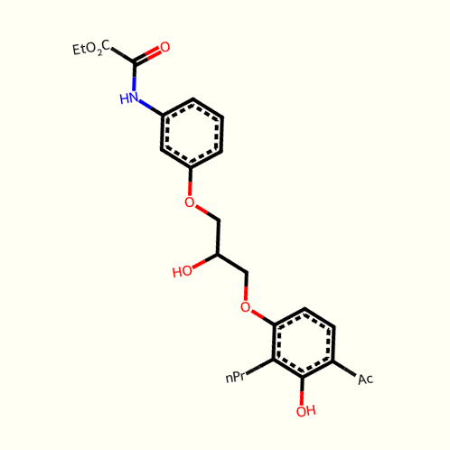 CCCc1c(OCC(O)COc2cccc(NC(=O)C(=O)OCC)c2)ccc(C(C)=O)c1O